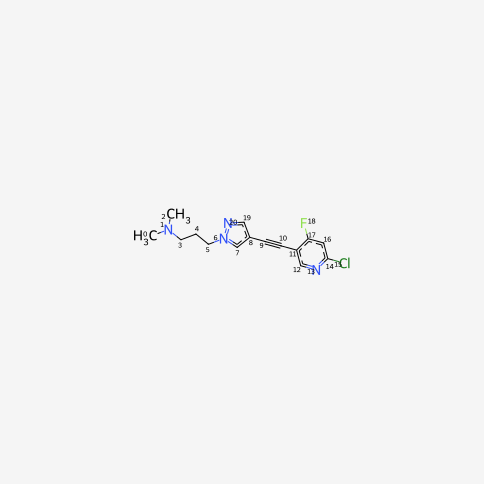 CN(C)CCCn1cc(C#Cc2cnc(Cl)cc2F)cn1